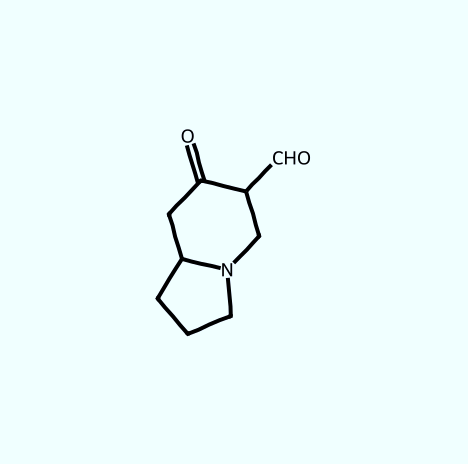 O=CC1CN2CCCC2CC1=O